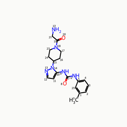 Cc1cccc(NC(=O)Nc2ccnn2C2CCN(C(=O)CN)CC2)c1